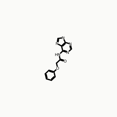 O=C(COc1ccccc1)Nc1ncnc2c1N=C[N]2